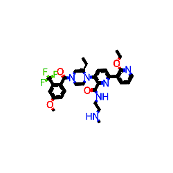 CCOc1ncccc1-c1ccc(N2CCN(C(=O)c3ccc(OC)cc3C(F)(F)F)C[C@H]2CC)c(C(=O)NCCNC)n1